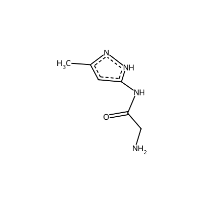 Cc1cc(NC(=O)CN)[nH]n1